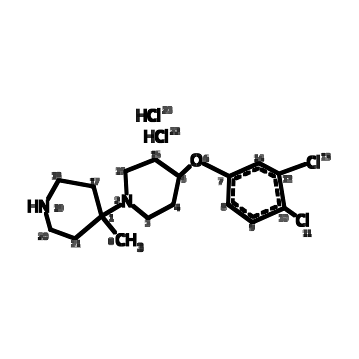 CC1(N2CCC(Oc3ccc(Cl)c(Cl)c3)CC2)CCNCC1.Cl.Cl